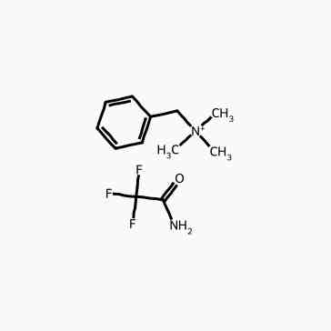 C[N+](C)(C)Cc1ccccc1.NC(=O)C(F)(F)F